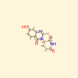 Cc1nc2cc(O)ccc2c(=O)n1C1CCC(=O)NC1=O